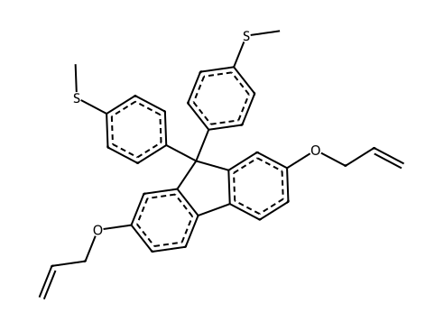 C=CCOc1ccc2c(c1)C(c1ccc(SC)cc1)(c1ccc(SC)cc1)c1cc(OCC=C)ccc1-2